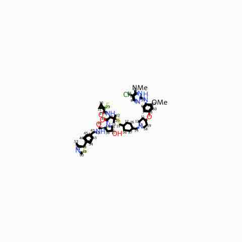 CNc1nc(Nc2ccc(OC3CCN(CC4CCC(CSC(C)(C)C(NC(=O)C5(F)CC5)C(=O)N5C[C@H](O)C[C@H]5C(=O)NCc5ccc(-c6scnc6C)cc5)CC4)CC3)cc2OC)ncc1Cl